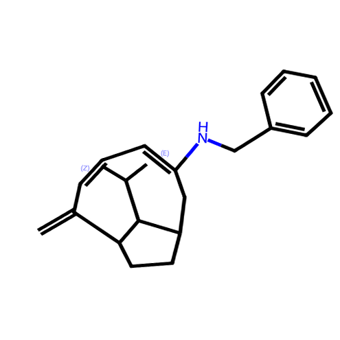 C=C1/C=C\C=C(\NCc2ccccc2)CC2CCC1C2C(C)C